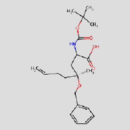 C=CCC[C@@](C)(CC(NC(=O)OC(C)(C)C)C(=O)O)OCc1ccccc1